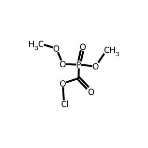 COOP(=O)(OC)C(=O)OCl